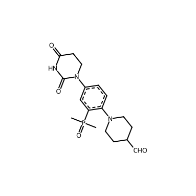 CP(C)(=O)c1cc(N2CCC(=O)NC2=O)ccc1N1CCC(C=O)CC1